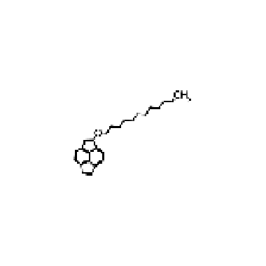 CCCCCCCCCCCCOC1=Cc2ccc3c4c(ccc1c24)C=C3